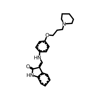 O=C1Nc2ccccc2C1=CNc1ccc(OCCCN2CCCCC2)cc1